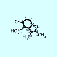 Cc1oc2ccc(Cl)c(C(=O)O)c2c1C